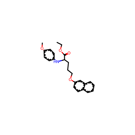 CCOC(=O)C(CCCOc1ccc2ccccc2c1)Nc1ccc(OC)cc1